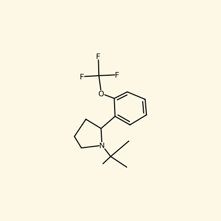 CC(C)(C)N1CCCC1c1ccccc1OC(F)(F)F